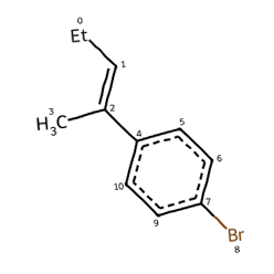 CC/C=C(\C)c1ccc(Br)cc1